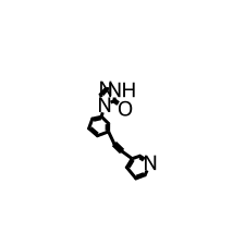 O=c1[nH]ncn1-c1cccc(C#Cc2cccnc2)c1